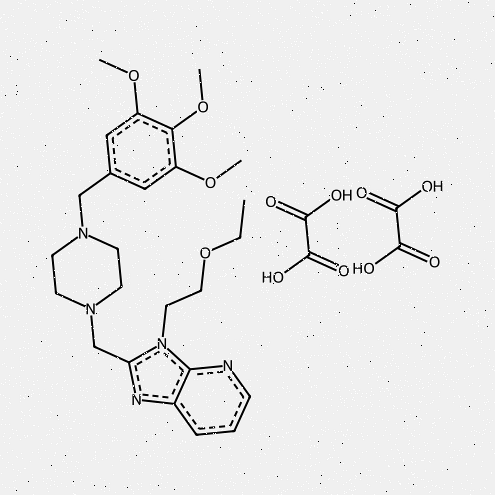 CCOCCn1c(CN2CCN(Cc3cc(OC)c(OC)c(OC)c3)CC2)nc2cccnc21.O=C(O)C(=O)O.O=C(O)C(=O)O